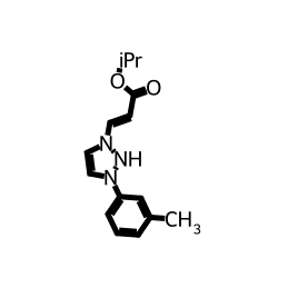 Cc1cccc(N2C=CN(C=CC(=O)OC(C)C)N2)c1